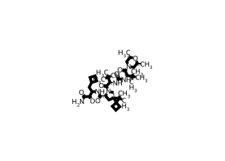 C[C@H]1CN(C(=O)[C@@H](NC(=O)N[C@H](C(=O)N2C[C@]3(C[C@H]2C(=O)NC(CC2CCC2)C(=O)C(N)=O)C(C)(C)C32CCC2)C(C)(C)C)C(C)(C)C)C[C@H](C)O1